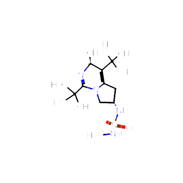 CNS(=O)(=O)N[C@@H]1CC2=C(C(C)(C)C)[C@H](C)N=C(C(C)(C)C)N2C1